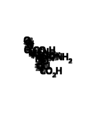 N#Cc1c(C2CCN(C(=O)CN3CCOCC3)C2C(=O)O)nn(C(=O)c2cccc(C(=O)O)c2Cl)c1OCc1ccc(CN)cc1